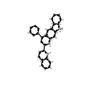 c1ccc(-c2cc(-c3ccc4ccccc4n3)nc3cc4[nH]c5ccccc5c4cc23)cc1